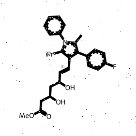 COC(=O)CC(O)CC(O)/C=C/c1c(-c2ccc(F)cc2)c(C)n(-c2ccccc2)c1C(C)C